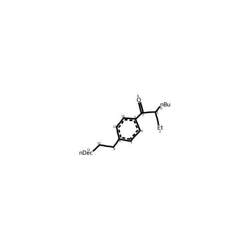 [CH2]CCCC(CC)C(=O)c1ccc(CCCCCCCCCCCC)cc1